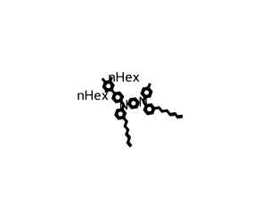 C=C/C=C/CCCc1cccc(N(c2ccc(C)cc2)c2ccc(N(c3ccc(-c4cc(CCCCCC)c(C)cc4CCCCCC)cc3)c3cccc(CCC/C=C/C=C)c3)cc2)c1